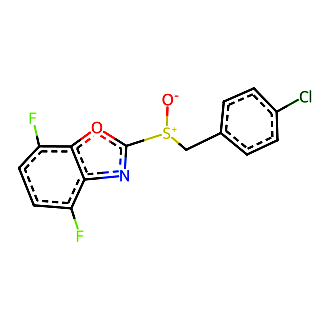 [O-][S+](Cc1ccc(Cl)cc1)c1nc2c(F)ccc(F)c2o1